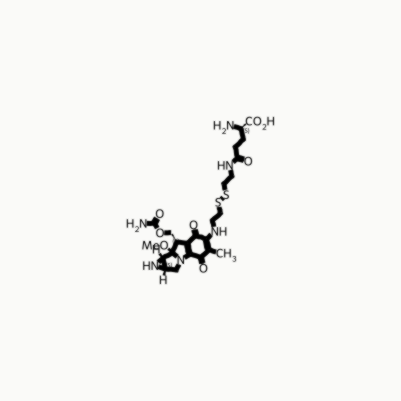 CO[C@@]12[C@H](COC(N)=O)C3=C(C(=O)C(C)=C(NCCSSCCNC(=O)CC[C@H](N)C(=O)O)C3=O)N1C[C@@H]1N[C@@H]12